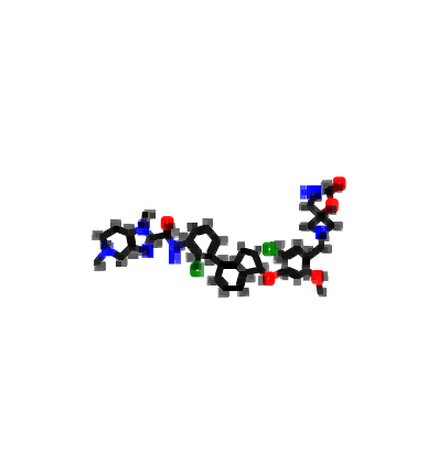 COc1cc(OC2CCc3c(-c4cccc(NC(=O)c5nc6c(n5C)CCN(C)C6)c4Cl)cccc32)c(Cl)cc1CN1CC2(CNC(=O)O2)C1